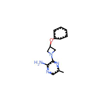 Cc1cnc(N)c(N2CC(Oc3ccccc3)C2)n1